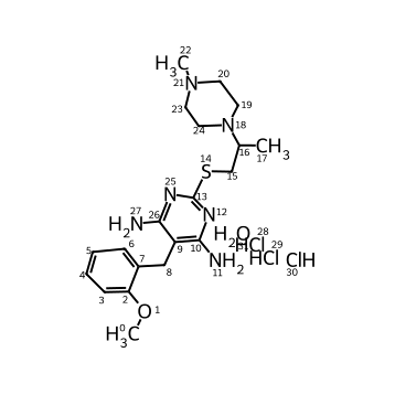 COc1ccccc1Cc1c(N)nc(SCC(C)N2CCN(C)CC2)nc1N.Cl.Cl.Cl.O